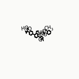 CC(OC(=O)Nc1cnoc1-c1ccc(-c2ccc(C3(C(=O)O)CC3)cc2)c2cc[nH]c12)c1ccccc1